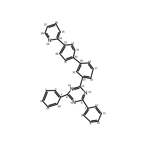 c1ccc(-c2nc(-c3ccccc3)nc(-c3cccc(-c4ccc(-c5ccccn5)cc4)c3)n2)cc1